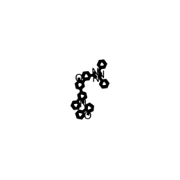 c1ccc(-c2nc(-c3ccccc3)nc(-c3ccc4oc5ccc(-c6ccc7c(c6)c6ccccc6n7-c6cccc7oc8ccccc8c67)cc5c4c3)n2)cc1